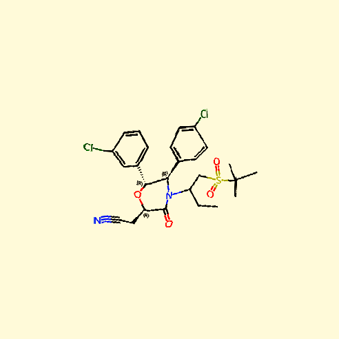 CCC(CS(=O)(=O)C(C)(C)C)N1C(=O)[C@@H](CC#N)O[C@H](c2cccc(Cl)c2)[C@H]1c1ccc(Cl)cc1